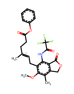 COc1c(C)c2c(c(NC(=O)C(F)(F)F)c1C/C=C(\C)CCC(=O)Oc1ccccc1)C(=O)OC2